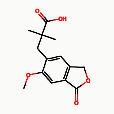 COc1cc2c(cc1CC(C)(C)C(=O)O)COC2=O